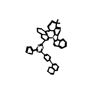 CC1(C)CCC2(C)C3=c4c(cc(-c5nc(-c6ccccc6)nc(-c6ccc(-c7cccc8c7CCC=C8)cc6)n5)cc4=CCC3)-n3c4ccc5ccccc5c4c4ccc1c2c43